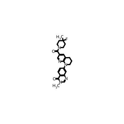 Cn1cnc2cc(N3CCCc4cc(C(=O)N5CCC(C)(F)CC5)cnc43)ccc2c1=O